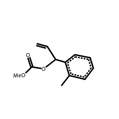 C=CC(OC(=O)OC)c1ccccc1C